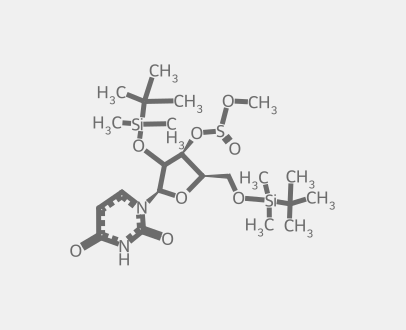 COS(=O)O[C@@H]1C(O[Si](C)(C)C(C)(C)C)[C@H](n2ccc(=O)[nH]c2=O)O[C@@H]1CO[Si](C)(C)C(C)(C)C